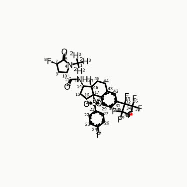 [2H]C([2H])([2H])N1C(=O)[C@H](F)C[C@H]1C(=O)N[C@@H]1CC[C@@]2(S(=O)(=O)c3ccc(F)cc3)c3ccc(C(F)(C(F)(F)F)C(F)(F)F)cc3CC[C@@H]12